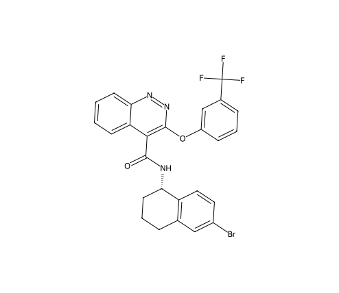 O=C(N[C@H]1CCCc2cc(Br)ccc21)c1c(Oc2cccc(C(F)(F)F)c2)nnc2ccccc12